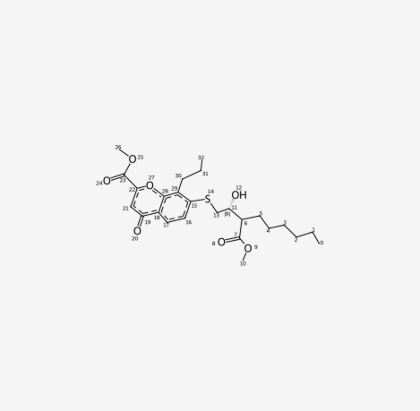 CCCCCCC(C(=O)OC)[C@@H](O)CSc1ccc2c(=O)cc(C(=O)OC)oc2c1CCC